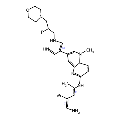 CC(C)C(=C/N)/C=C(\N)NC1=NC2=CC(/C(C=N)=C/NCC(F)CN3CCOCC3)=CN(C)C2C=C1